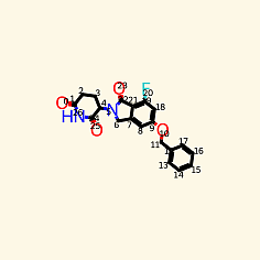 O=C1CCC(N2Cc3cc(OCc4ccccc4)cc(F)c3C2=O)C(=O)N1